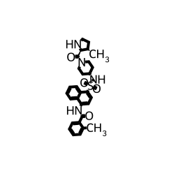 Cc1ccccc1C(=O)Nc1ccc(S(=O)(=O)NC2CCN(C(=O)[C@H]3NCC[C@@H]3C)CC2)c2ccccc12